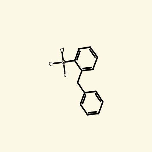 Cl[Si](Cl)(Cl)c1ccccc1Cc1ccccc1